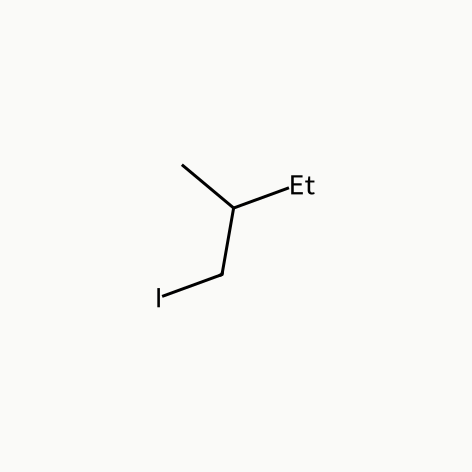 [CH2]CC(C)CI